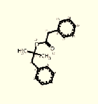 CC(C)(Cc1ccccc1)OC(=O)Cc1ccccc1